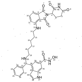 O=C1CCC(N2C(=O)c3cccc(NCCCCCCNC(c4ccccc4)c4cc(C(=O)NO)cc5[nH]ccc45)c3C2=O)C(=O)N1